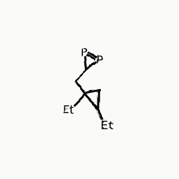 CCC1CC1(CC)CC1P=P1